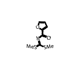 CSC(=NC(=O)c1ccco1)SC